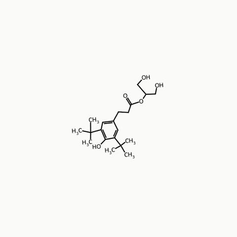 CC(C)(C)c1cc(CCC(=O)OC(CO)CO)cc(C(C)(C)C)c1O